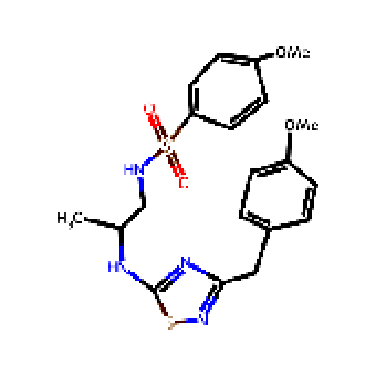 COc1ccc(Cc2nsc(NC(C)CNS(=O)(=O)c3ccc(OC)cc3)n2)cc1